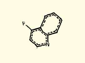 Fc1c[c]nc2ccccc12